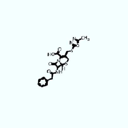 Cc1nnc(SCC2=C(C(=O)O)N3C(=O)C(NC(=O)Cc4ccccc4)[C@H]3SC2)s1